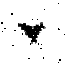 CN(C)c1ccc2c(-c3ccc(S(=O)(=O)O)cc3S(=O)(=O)[O-])c3ccc(N(C)C)cc3[o+]c2c1